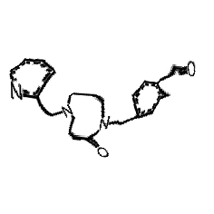 O=Cc1ccc(CN2CCN(Cc3ccccn3)CC2=O)cc1